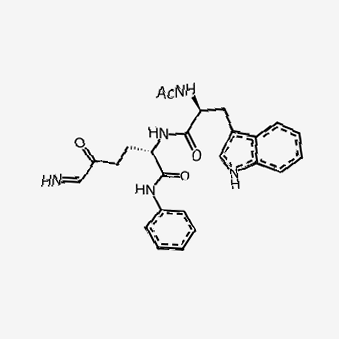 CC(=O)N[C@@H](Cc1c[nH]c2ccccc12)C(=O)N[C@@H](CCC(=O)C=N)C(=O)Nc1ccccc1